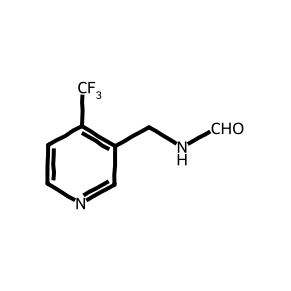 O=CNCc1cnccc1C(F)(F)F